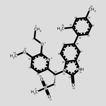 CCOc1nc([C@@H](CS(C)(=O)=O)n2c(=O)[nH]c3cc(-c4ccc(C)cc4C)ccc32)ccc1OC